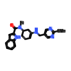 CCN(C(=O)c1cc2ccccc2[nH]1)C1CCC=C(NCc2cnc(OC)nc2)C1